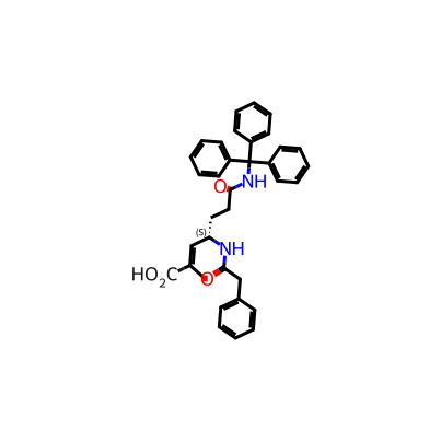 CC(=C[C@H](CCC(=O)NC(c1ccccc1)(c1ccccc1)c1ccccc1)NC(=O)Cc1ccccc1)C(=O)O